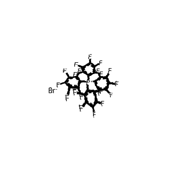 Fc1c(F)c(F)c([P+](c2c(F)c(F)c(F)c(F)c2F)(c2c(F)c(F)c(F)c(F)c2F)c2c(F)c(F)c(F)c(F)c2F)c(F)c1F.[Br-]